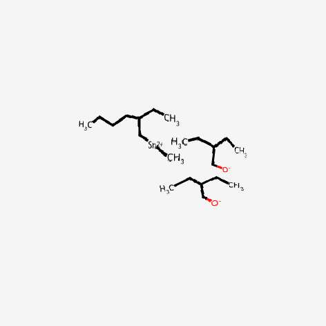 CCC(CC)C[O-].CCC(CC)C[O-].CCCCC(CC)[CH2][Sn+2][CH3]